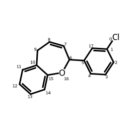 Clc1cccc(C2C=CCc3ccccc3O2)c1